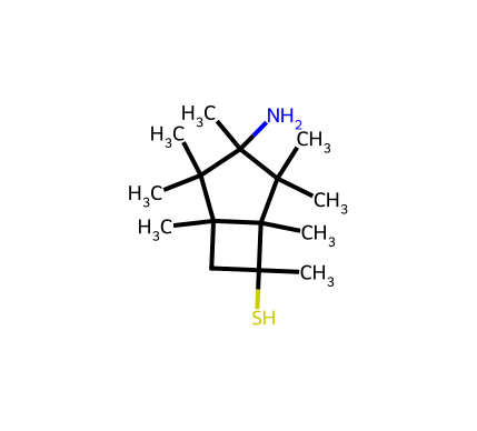 CC1(S)CC2(C)C(C)(C)C(C)(N)C(C)(C)C12C